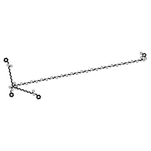 O=C(CCCCCCCCCCCC(CCCCCCCCCCCC(=O)OCc1ccccc1)(C(=O)NCCOCCOCCOCCOCCOCCOCCOCCOCCOCCOCCOCCOCCOCCOCCOCCOCCOCCOCCOCCOCCOCCOCCOCCOCCC(=O)ON1C(=O)CCC1=O)C(=O)OCc1ccccc1)OCc1ccccc1